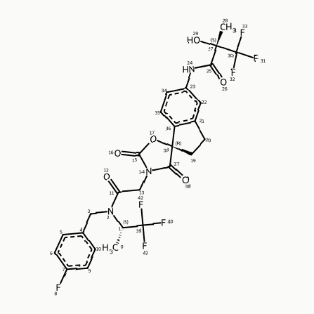 C[C@H](N(Cc1ccc(F)cc1)C(=O)CN1C(=O)O[C@@]2(CCc3cc(NC(=O)[C@](C)(O)C(F)(F)F)ccc32)C1=O)C(F)(F)F